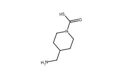 NCC1CCN(C(=O)S)CC1